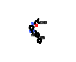 CCCCc1nc2c(n1Cc1ccc(-c3ccccc3C#N)cc1)CC(=NC(=O)CC(C)CC=O)C=C2